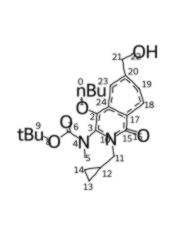 CCCCOc1c(N(C)C(=O)OC(C)(C)C)n(CC2CC2)c(=O)c2ccc(CO)cc12